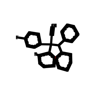 C#CC(c1ccc(F)cc1)(c1ccccc1F)C(c1ccccc1)c1ccccc1